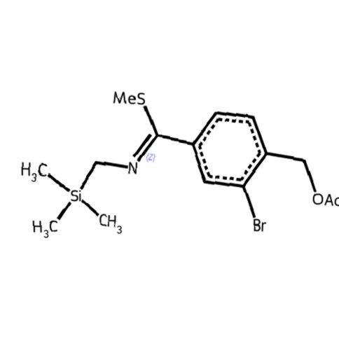 CS/C(=N\C[Si](C)(C)C)c1ccc(COC(C)=O)c(Br)c1